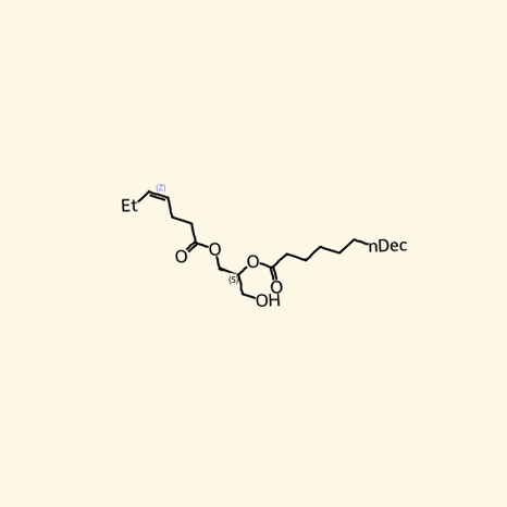 CC/C=C\CCC(=O)OC[C@H](CO)OC(=O)CCCCCCCCCCCCCCC